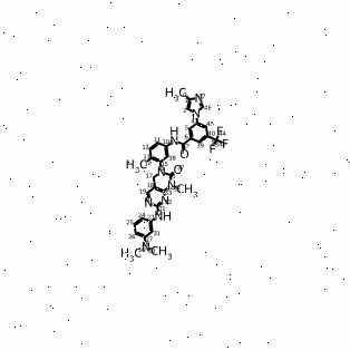 Cc1cn(-c2cc(C(=O)Nc3ccc(C)c(N4Cc5cnc(Nc6cccc(N(C)C)c6)nc5N(C)C4=O)c3)cc(C(F)(F)F)c2)cn1